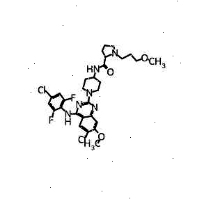 COCCCN1CCCC1C(=O)NC1CCN(c2nc(Nc3c(F)cc(Cl)cc3F)c3cc(Cl)c(OC)cc3n2)CC1